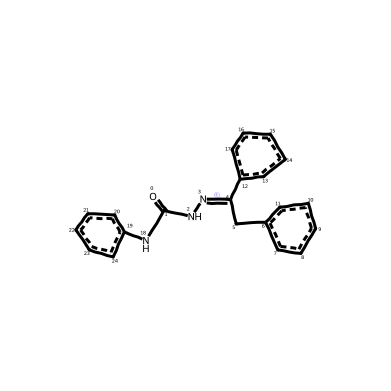 O=C(N/N=C(\Cc1ccccc1)c1ccccc1)Nc1ccccc1